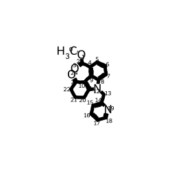 COC(=O)c1cccc2c1c1c(n2Cc2ccccn2)CCCC1=O